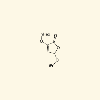 CCCCCCOC1=CC(OC(C)C)OC1=O